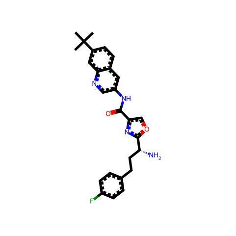 CC(C)(C)c1ccc2cc(NC(=O)c3coc([C@H](N)CCc4ccc(F)cc4)n3)cnc2c1